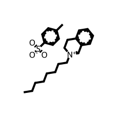 CCCCCCCC[N+]1=Cc2ccccc2CC1.Cc1ccc(S(=O)(=O)[O-])cc1